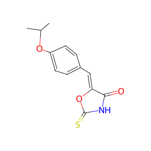 CC(C)Oc1ccc(/C=C2\OC(=S)NC2=O)cc1